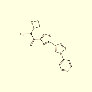 CN(C(=O)c1csc(-c2cnn(-c3ccccc3)c2)n1)C1CCO1